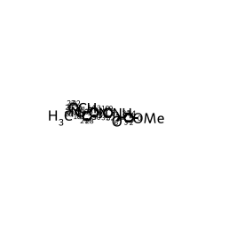 COc1ccc(C(=O)NC2CCN(c3ccc4cc(CN5[C@H](C)CCC[C@@H]5C)ccc4c3)CC2)cc1